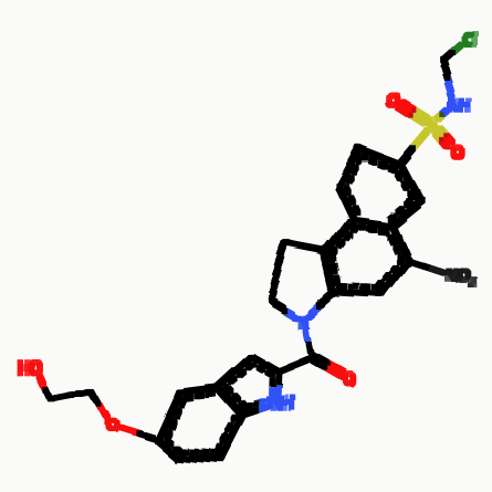 O=C(c1cc2cc(OCCO)ccc2[nH]1)N1CCc2c1cc([N+](=O)[O-])c1cc(S(=O)(=O)NCCl)ccc21